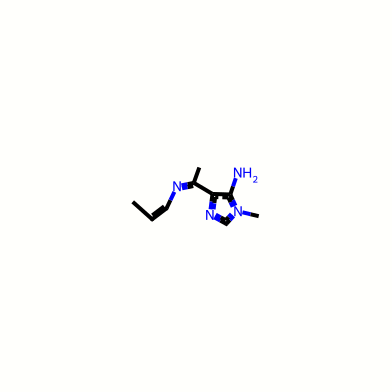 C/C=C\N=C(\C)c1ncn(C)c1N